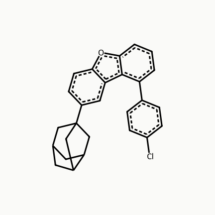 Clc1ccc(-c2cccc3oc4ccc(C56CC7CC(C5)C(C7)C6)cc4c23)cc1